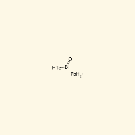 [O]=[Bi][TeH].[PbH2]